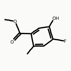 COC(=O)c1cc(O)c(F)cc1C